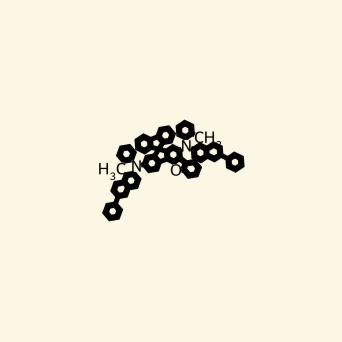 Cc1ccccc1N(c1ccc2c(c1)C1(c3ccccc3-c3ccccc31)c1cc(N(c3ccc4cc(-c5ccccc5)ccc4c3)c3ccccc3C)c3c(oc4ccccc43)c1-2)c1ccc2cc(-c3ccccc3)ccc2c1